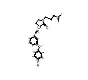 CN(C)CCCN1CCN(N=Cc2cccc(Oc3ccc(Cl)cc3)c2)C1=O